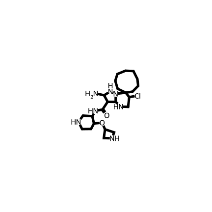 NC1NN2C(NCC(Cl)C23CCCCCCCC3)C1C(=O)NC1CNCCC1OC1CNC1